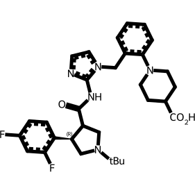 CC(C)(C)N1CC(C(=O)Nc2nccn2Cc2ccccc2N2CCC(C(=O)O)CC2)[C@H](c2ccc(F)cc2F)C1